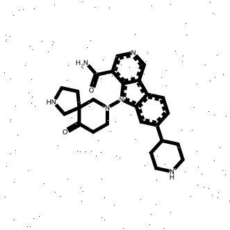 NC(=O)c1cncc2c3ccc(C4CCNCC4)cc3n(N3CCC(=O)C4(CCNC4)C3)c12